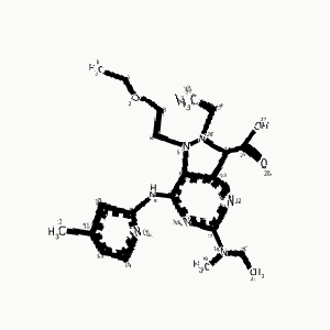 CCOCCN1c2c(Nc3cc(C)ccn3)nc(N(C)CC)nc2C(C(=O)O)N1CC